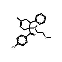 COCCN(C)C1(C(=O)c2ccc(O)cc2)CC=C(C)CC1c1ccccc1